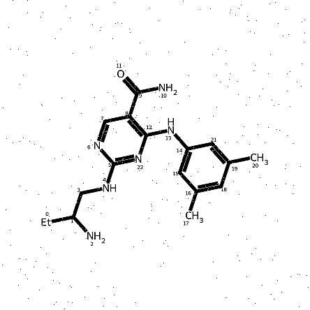 CCC(N)CNc1ncc(C(N)=O)c(Nc2cc(C)cc(C)c2)n1